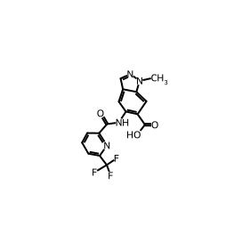 Cn1ncc2cc(NC(=O)c3cccc(C(F)(F)F)n3)c(C(=O)O)cc21